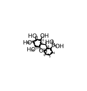 OB(O)c1ccccc1Cc1c(O)c(O)c(O)c(O)c1O